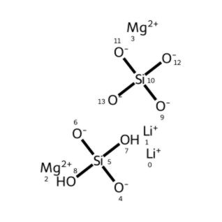 [Li+].[Li+].[Mg+2].[Mg+2].[O-][Si]([O-])(O)O.[O-][Si]([O-])([O-])[O-]